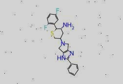 N[C@H]1C[C@@H](N2Cc3nc(-c4ccccc4)[nH]c3C2)CSC1c1cc(F)ccc1F